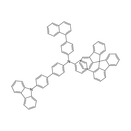 c1ccc2c(c1)-c1ccccc1C21c2ccccc2-c2cccc(-c3ccc(N(c4ccc(-c5ccc(-n6c7ccccc7c7ccccc76)cc5)cc4)c4ccc(-c5cccc6ccccc56)cc4)cc3)c21